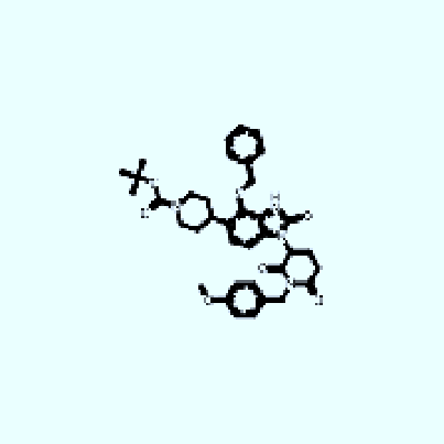 COc1ccc(CN2C(=O)CCC(n3c(=O)[nH]c4c(SCc5ccccc5)c(C5CCN(C(=O)OC(C)(C)C)CC5)ccc43)C2=O)cc1